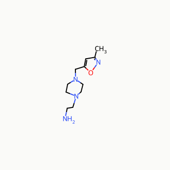 Cc1cc(CN2CCN(CCN)CC2)on1